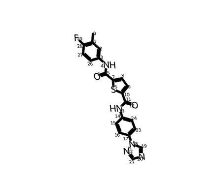 Cc1cc(NC(=O)c2ccc(C(=O)Nc3ccc(-n4cncn4)cc3)s2)ccc1F